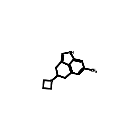 Cc1cc2c3c(c[nH]c3c1)CC(N1CCC1)C2